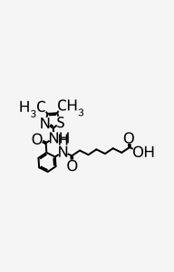 Cc1nc(NC(=O)c2ccccc2NC(=O)CCCCCCC(=O)O)sc1C